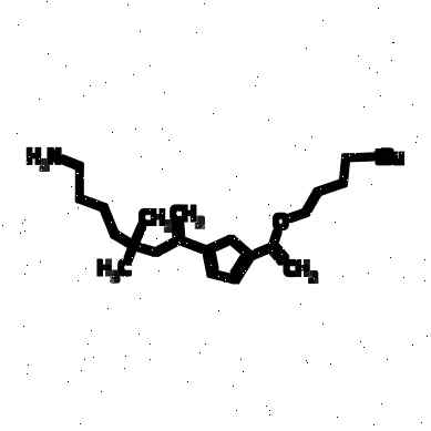 C=C(CC(C)(C)CCCCN)C1=CC=C(C(=C)OCCCCC(C)(C)C)C1